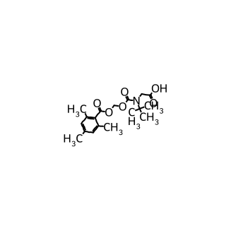 Cc1cc(C)c(C(=O)OCOC(=O)N(CC(=O)O)C(C)(C)C)c(C)c1